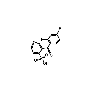 O=C(c1ccc(F)cc1F)c1ccccc1S(=O)(=O)O